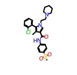 Cc1c(C(=O)Nc2ccc(S(C)(=O)=O)cc2)cn(CCN2CCCCC2)c1-c1ccccc1Cl